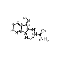 C\N=c1c(=N\N(C)C(N)=O)/c(=N/C)c2ccccc/12